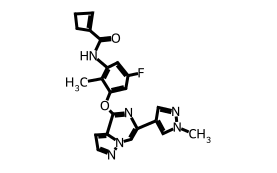 Cc1c(NC(=O)C2=CCC2)cc(F)cc1Oc1nc(-c2cnn(C)c2)cn2nccc12